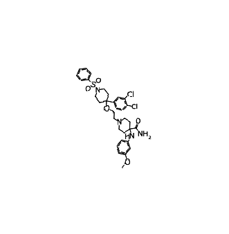 COc1cccc(NC2(C(N)=O)CCN(CCOC3(c4ccc(Cl)c(Cl)c4)CCN(S(=O)(=O)c4ccccc4)CC3)CC2)c1